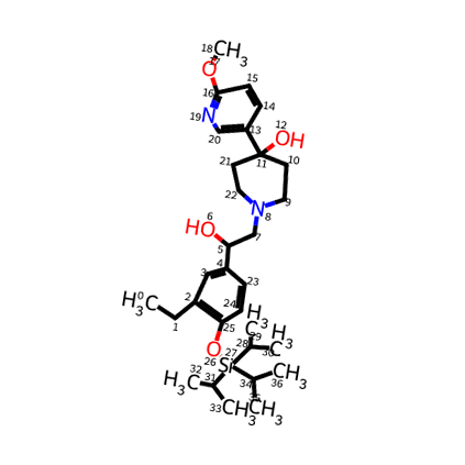 CCc1cc(C(O)CN2CCC(O)(c3ccc(OC)nc3)CC2)ccc1O[Si](C(C)C)(C(C)C)C(C)C